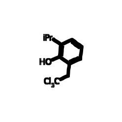 CC(C)c1cccc(CC(Cl)(Cl)Cl)c1O